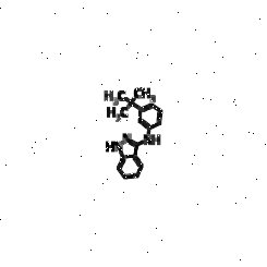 CC(C)(C)c1cccc(Nc2n[nH]c3ccccc23)c1